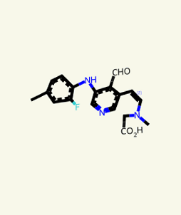 Cc1ccc(Nc2cncc(/C=C\N(C)CC(=O)O)c2C=O)c(F)c1